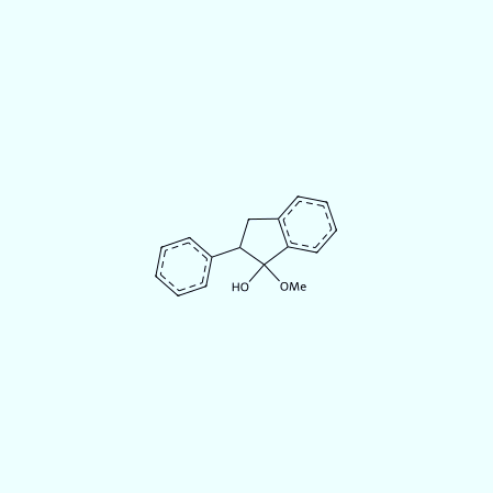 COC1(O)c2ccccc2CC1c1ccccc1